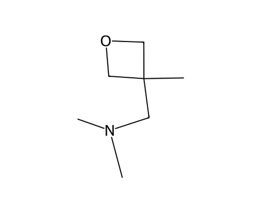 CN(C)CC1(C)COC1